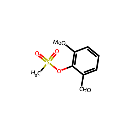 COc1cccc(C=O)c1OS(C)(=O)=O